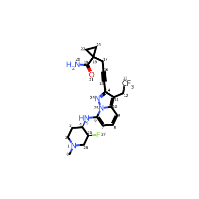 CN1CC[C@@H](Nc2cccc3c(CC(F)(F)F)c(C#CCC4(C(N)=O)CC4)nn23)[C@@H](F)C1